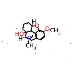 COc1ccc2c3c1O[C@@H]1CCCC4(O)[C@H](C2)N(C)CC[C@@]314